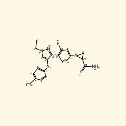 CCn1cc(Sc2ccc(Cl)cc2)c(-c2ccc(C3CC3C(N)=O)cc2F)n1